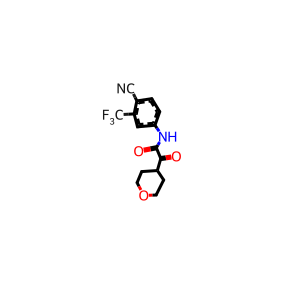 N#Cc1ccc(NC(=O)C(=O)C2CCOCC2)cc1C(F)(F)F